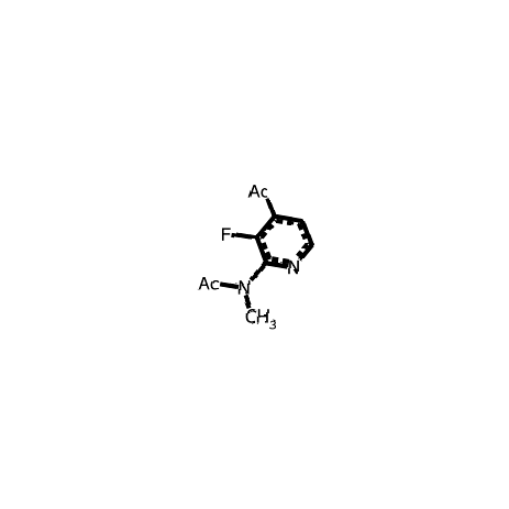 [CH2]C(=O)c1ccnc(N(C)C(C)=O)c1F